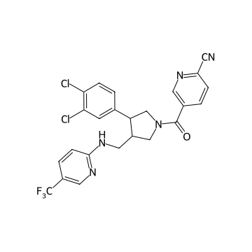 N#Cc1ccc(C(=O)N2CC(CNc3ccc(C(F)(F)F)cn3)C(c3ccc(Cl)c(Cl)c3)C2)cn1